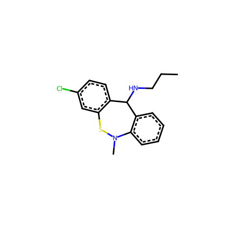 CCCNC1c2ccc(Cl)cc2SN(C)c2ccccc21